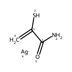 C=C(S)C(N)=O.[Ag]